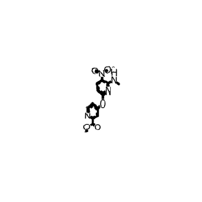 CNc1nc(Oc2ccnc(C(=O)OC)c2)ccc1[N+](=O)[O-]